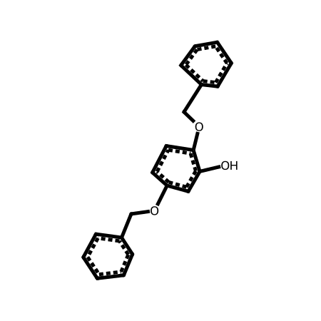 Oc1cc(OCc2ccccc2)ccc1OCc1ccccc1